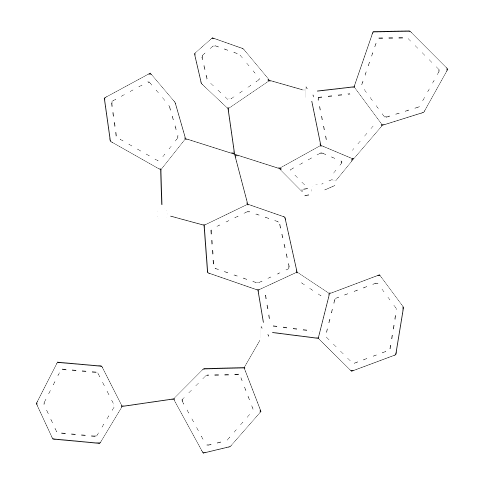 c1ccc(-c2cccc(-n3c4ccccc4c4cc5c(cc43)Oc3ccccc3C53c4ccccc4-n4c5ccccc5c5cccc3c54)c2)cc1